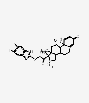 C[C@@H]1CC2C3CCC4=CC(=O)C=CC4(C)C3[C@@H](O)CC2(C)[C@@]1(O)C(=O)CSc1nc2cc(F)c(F)cc2[nH]1